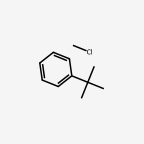 CC(C)(C)c1ccccc1.CCl